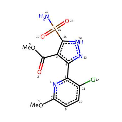 COC(=O)c1c(-c2nc(OC)ccc2Cl)n[nH]c1S(N)(=O)=O